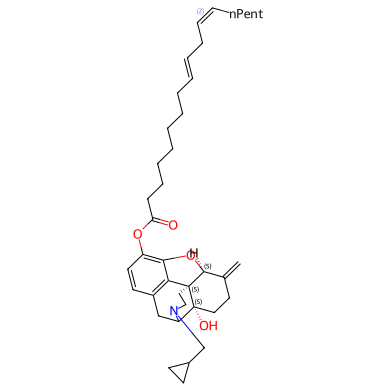 C=C1CC[C@@]2(O)C3Cc4ccc(OC(=O)CCCCCCCC=CC/C=C\CCCCC)c5c4[C@@]2(CCN3CC2CC2)[C@H]1O5